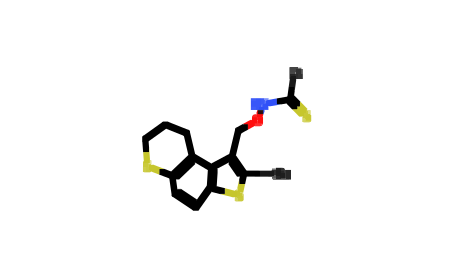 CCC(=S)NOCc1c(C(C)(C)C)sc2ccc3c(c12)CCCS3